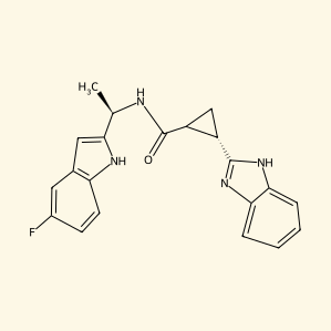 C[C@@H](NC(=O)C1C[C@@H]1c1nc2ccccc2[nH]1)c1cc2cc(F)ccc2[nH]1